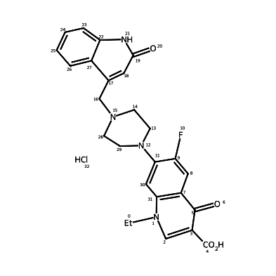 CCn1cc(C(=O)O)c(=O)c2cc(F)c(N3CCN(Cc4cc(=O)[nH]c5ccccc45)CC3)cc21.Cl